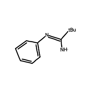 CC(C)(C)C([NH])=Nc1ccccc1